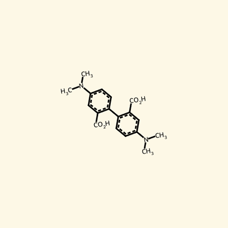 CN(C)c1ccc(-c2ccc(N(C)C)cc2C(=O)O)c(C(=O)O)c1